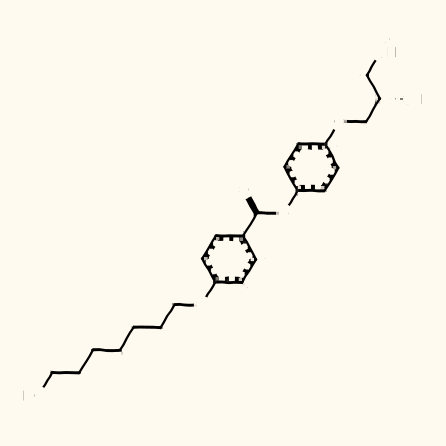 CCCCCCCCOc1ccc(C(=O)Oc2ccc(OC[C@@H](C)CC)cc2)cc1